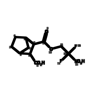 O=C(O)C1C2CCC(C2)C1C(=O)OCC(F)(F)S(=O)(=O)O